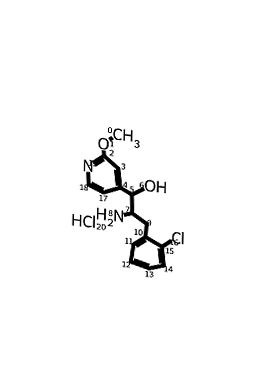 COc1cc(C(O)C(N)Cc2ccccc2Cl)ccn1.Cl